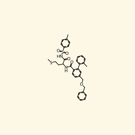 CSCCC(NC(=O)c1ccc(COCc2ccccc2)cc1-c1ccccc1C)C(=O)NS(=O)(=O)c1ccc(C)cc1